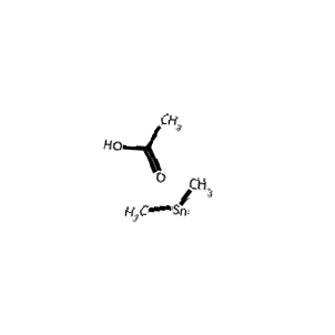 CC(=O)O.[CH3][Sn][CH3]